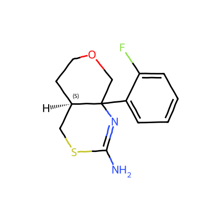 NC1=NC2(c3ccccc3F)COCC[C@@H]2CS1